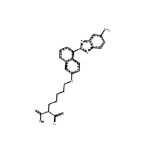 Cc1ccc2nc(-c3cccc4cc(OCCCCCC(C(=O)O)C(=O)O)ccc34)oc2c1